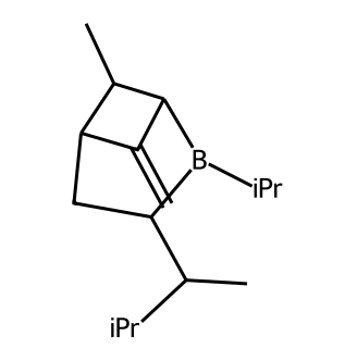 C=C1C2CC(C(C)C(C)C)B(C(C)C)C1C2C